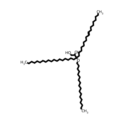 CCCCCCCCC=CCCCCCCCCC(CCCCCCCCCCCCCCCCCC)(OCCCCCCCCCCCCCCCCCC)C(O)CO